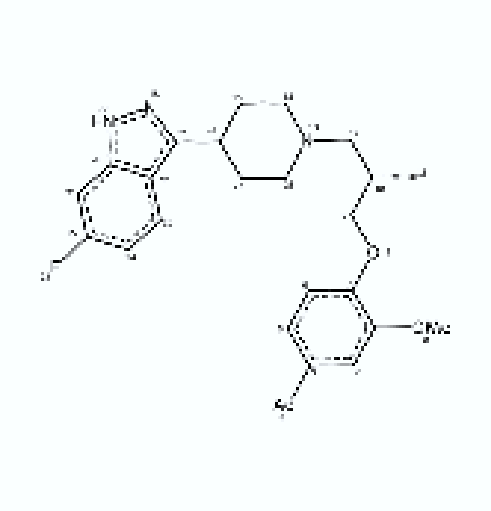 COc1cc(C(C)=O)ccc1OC[C@@H](C)CN1CCC(c2n[nH]c3cc(F)ccc23)CC1